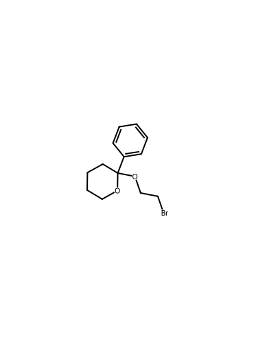 BrCCOC1(c2ccccc2)CCCCO1